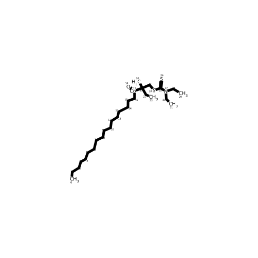 CCCCCCCCCCCCCCCC[CH2][Co](=[O])[C](C)(CC)CSC(=S)N(CC)CC